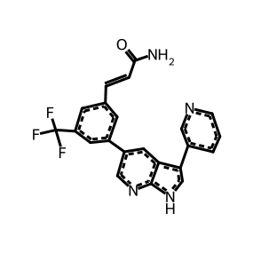 NC(=O)C=Cc1cc(-c2cnc3[nH]cc(-c4cccnc4)c3c2)cc(C(F)(F)F)c1